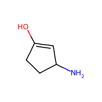 NC1C=C(O)CC1